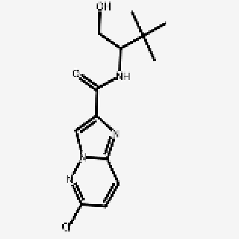 CC(C)(C)C(CO)NC(=O)c1cn2nc(Cl)ccc2n1